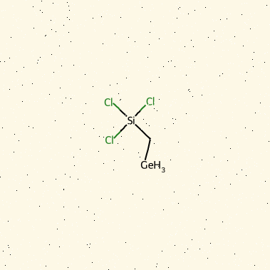 Cl[Si](Cl)(Cl)[CH2][GeH3]